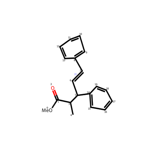 COC(=O)C(C)C(/C=C/c1ccccc1)c1ccccc1